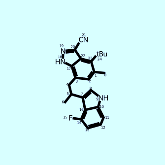 Cc1cc(CC(C)c2c[nH]c3cccc(F)c23)c2[nH]nc(C#N)c2c1C(C)(C)C